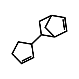 C1=CC(C2CC3C=CC2C3)CC1